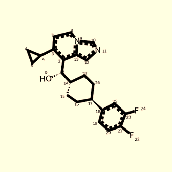 O[C@H](c1c(C2CC2)ccn2cncc12)[C@H]1CC[C@H](c2ccc(F)c(F)c2)CC1